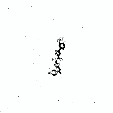 CC(Cc1nsc(NC(=O)c2csc(-c3cccc(OC(F)(F)F)c3)c2)n1)N1CCN(C)CC1